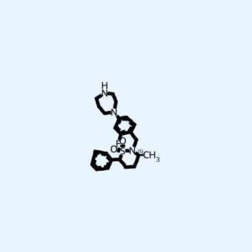 C[C@H]1CCC(c2ccccc2)S(=O)(=O)N1Cc1ccc(N2CCCNCC2)cc1F